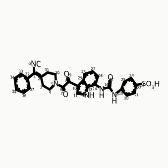 [C-]#[N+]C(=C1CCN(C(=O)C(=O)c2c[nH]c3c(NC(=O)Nc4ccc(S(=O)(=O)O)cc4)cccc23)CC1)c1ccccc1